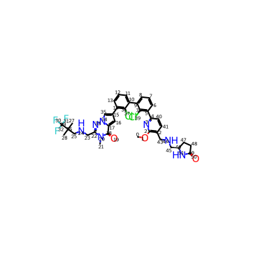 COc1nc(-c2cccc(-c3cccc(-c4cc5c(=O)n(C)c(CNCC(C)(C)C(F)(F)F)nn5c4)c3Cl)c2Cl)ccc1CNC[C@H]1CCC(=O)N1